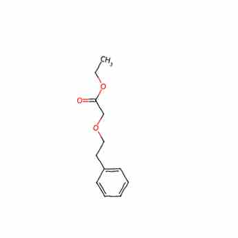 CCOC(=O)COCCc1ccccc1